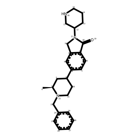 C[C@H]1CC(c2ccc3c(c2)CN(C2CCCNC2)C3=O)CCN1Cc1ccccc1